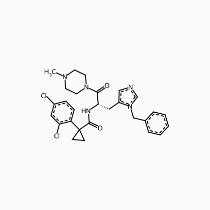 CN1CCN(C(=O)[C@H](Cc2cncn2Cc2ccccc2)NC(=O)C2(c3ccc(Cl)cc3Cl)CC2)CC1